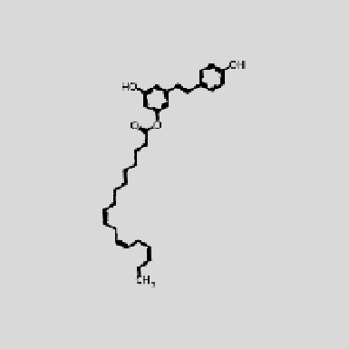 CC/C=C\C/C=C\C/C=C\CCCCCCCC(=O)Oc1cc(O)cc(C=Cc2ccc(O)cc2)c1